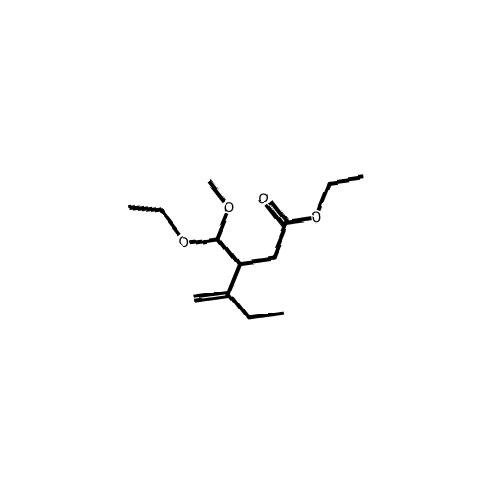 C=C(CC)C(CC(=O)OCC)C(OC)OCC